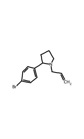 C=CCN1CCCC1c1ccc(Br)cc1